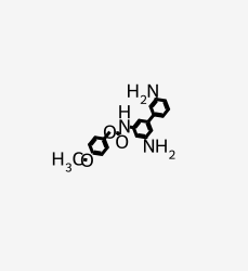 COc1ccc(OC(=O)Nc2cc(N)cc(-c3cccc(N)c3)c2)cc1